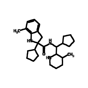 Cc1cccc2c1NC(C(=O)NC(C1CCCC1)C1NCCCC1C)(C1CCCC1)C2